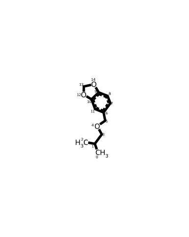 CC(C)COCc1ccc2c(c1)OCO2